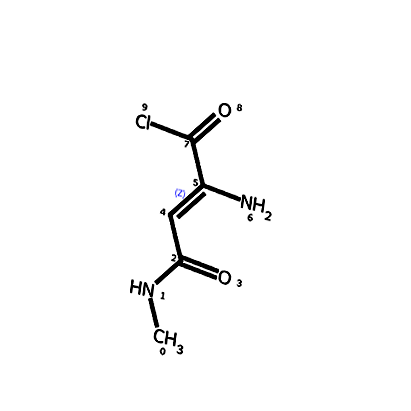 CNC(=O)/C=C(\N)C(=O)Cl